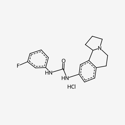 Cl.O=C(Nc1cccc(F)c1)Nc1ccc2c(c1)C1CCCN1CC2